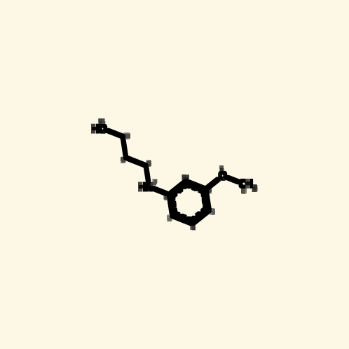 COc1cccc(NCCCO)c1